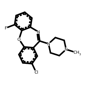 CN1CCN(C2=Nc3cccc(F)c3Oc3ccc(Cl)cc32)CC1